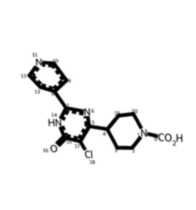 O=C(O)N1CCC(c2nc(-c3ccncc3)[nH]c(=O)c2Cl)CC1